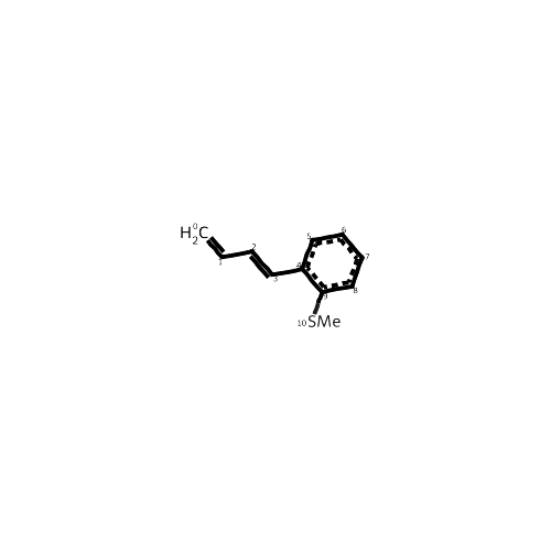 C=C/C=C/c1ccccc1SC